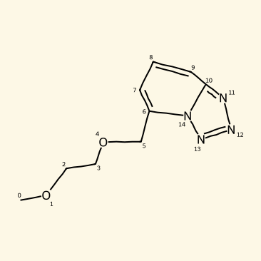 COCCOCc1cccc2nnnn12